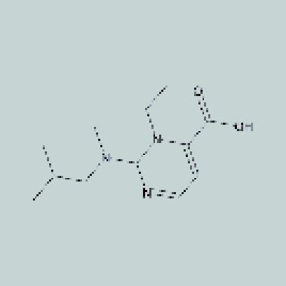 CCN1C(C(=O)O)=CC=NC1N(C)CC(C)C